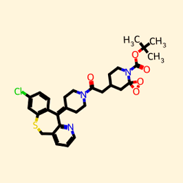 CC(C)(C)OC(=O)N1CCC(CC(=O)N2CCC(=C3c4ccc(Cl)cc4SCc4cccnc43)CC2)CC12OO2